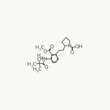 COC(=O)c1c(CCC2CCCN2C(=O)O)cccc1NC(=O)C(C)(C)C